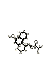 COc1cc2c(c3ccccc13)/C(=N/OC(=O)C(C)C)CCC2